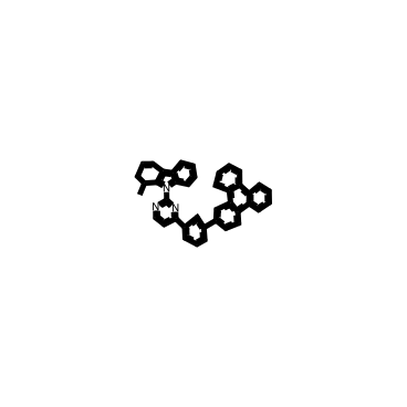 CC1CC=Cc2c1n(-c1nccc(-c3cccc(-c4ccc5c6ccccc6c6ccccc6c5c4)c3)n1)c1ccccc21